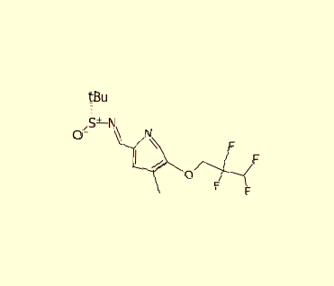 Cc1cc(/C=N/[S@+]([O-])C(C)(C)C)ncc1OCC(F)(F)C(F)F